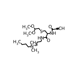 C#CC(=O)NC(CSCC(OC)OC)C(=O)NCCC[N+](C)(C)CCCC